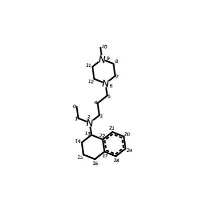 CCN(CCCN1CCN(C)CC1)C1CCCc2ccccc21